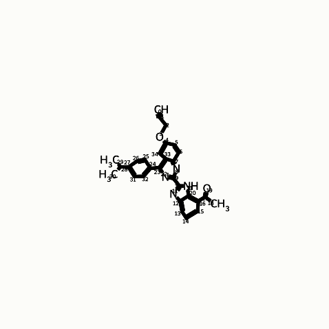 C#CCOc1ccc2nc(-c3nc4cccc(C(C)=O)c4[nH]3)nc(-c3ccc(C(C)C)cc3)c2c1